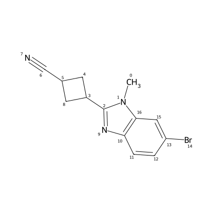 Cn1c(C2CC(C#N)C2)nc2ccc(Br)cc21